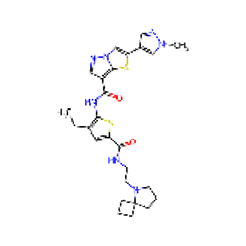 CCc1cc(C(=O)NCCN2CCCC23CCC3)sc1NC(=O)c1cnn2cc(-c3cnn(C)c3)sc12